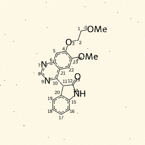 COCCOc1cc2ncnc(C3C(=O)Nc4ccccc43)c2cc1OC